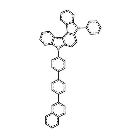 c1ccc(-n2c3ccccc3c3c4c5ccccc5n(-c5ccc(-c6ccc(-c7ccc8ccccc8c7)cc6)cc5)c4ccc32)cc1